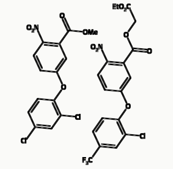 CCOC(=O)COC(=O)c1cc(Oc2ccc(C(F)(F)F)cc2Cl)ccc1[N+](=O)[O-].COC(=O)c1cc(Oc2ccc(Cl)cc2Cl)ccc1[N+](=O)[O-]